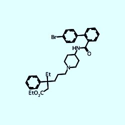 CCOC(=O)CC(CC)(CCCN1CCC(NC(=O)c2ccccc2-c2ccc(Br)cc2)CC1)c1ccccc1